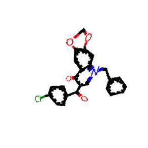 O=C(c1ccc(Cl)cc1)c1cn(Cc2ccccc2)c2cc3c(cc2c1=O)OCO3